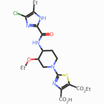 CCOC(=O)c1sc(N2CCC(NC(=O)c3nc(Cl)c(CC)[nH]3)C(OCC)C2)nc1C(=O)O